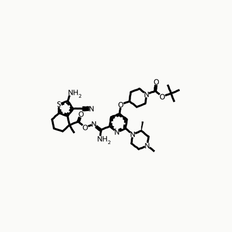 C[C@H]1CN(C)CCN1c1cc(OC2CCN(C(=O)OC(C)(C)C)CC2)cc(/C(N)=N/OC(=O)C2(C)CCCc3sc(N)c(C#N)c32)n1